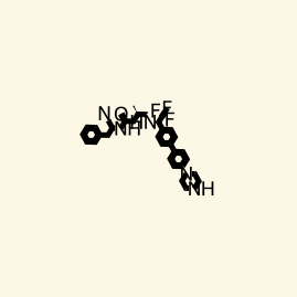 C[C@H](CN[C@@H](c1ccc(-c2ccc(N3CCNCC3)cc2)cc1)C(F)(F)F)CC(=O)NC(C#N)Cc1ccccc1